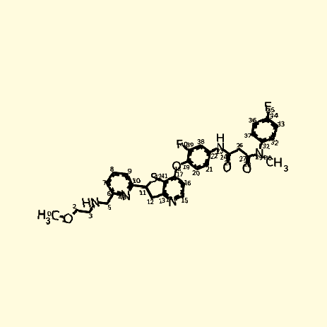 COCCNCc1cccc(C2Cc3nccc(Oc4ccc(NC(=O)CC(=O)N(C)c5ccc(F)cc5)cc4F)c3S2)n1